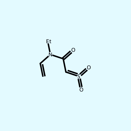 C=CN(CC)C(=O)C=S(=O)=O